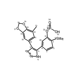 CSc1ccc(-c2[nH]nnc2-c2cc(C)c3c(c2)OCO3)cc1O[PH](=O)O